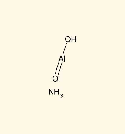 N.[O]=[Al][OH]